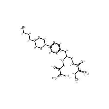 C=C(C)C(=O)COC(COC(=O)C(=C)CO)Cc1ccc(C2CCC(CCCC(C)C)CC2)cc1